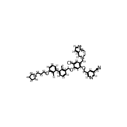 Cc1c(COc2cc(OCc3cncc(C#N)c3)c(CN(C)Cc3ccnn3C)cc2Cl)cccc1-c1cccc(OCCCN2CCCC2)c1C